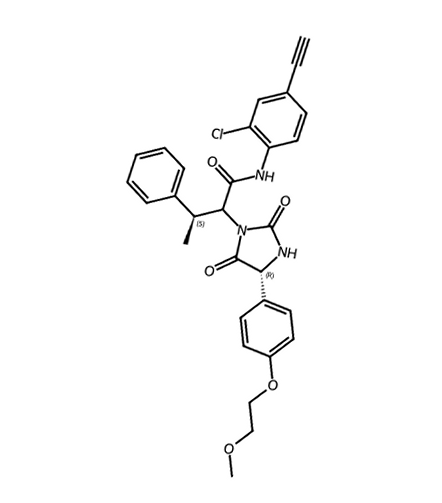 C#Cc1ccc(NC(=O)C([C@@H](C)c2ccccc2)N2C(=O)N[C@H](c3ccc(OCCOC)cc3)C2=O)c(Cl)c1